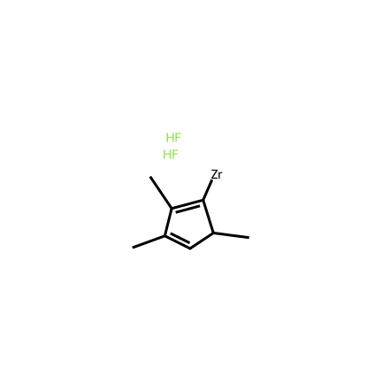 CC1=CC(C)[C]([Zr])=C1C.F.F